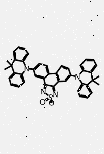 CC1(C)c2ccccc2N(c2ccc3c(c2)c2c(c4cc(N5c6ccccc6C(C)(C)c6ccccc65)ccc43)=NS(=O)(=O)N=2)c2ccccc21